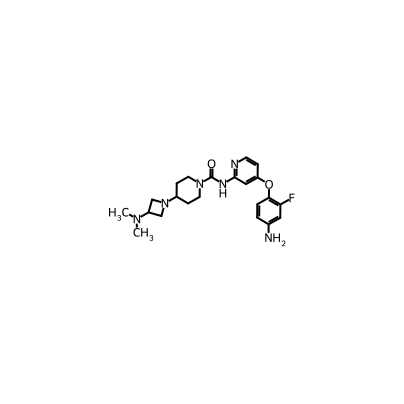 CN(C)C1CN(C2CCN(C(=O)Nc3cc(Oc4ccc(N)cc4F)ccn3)CC2)C1